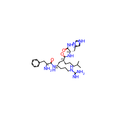 CC(C)CCC[C@@H](C[C@@H](CCCNC(=N)N)NC(=O)[C@@H](N)Cc1ccccc1)C(=O)N[C@@H](Cc1c[nH]cn1)C(N)=O